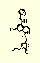 O=C1OC(COc2nccc3c(NCc4ccco4)cc(Cl)nc23)CN1CCF